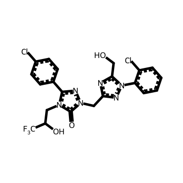 O=c1n(Cc2nc(CO)n(-c3ccccc3Cl)n2)nc(-c2ccc(Cl)cc2)n1CC(O)C(F)(F)F